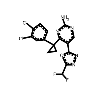 Nc1ncc(-c2nnc(C(F)F)o2)c(C2(c3ccc(Cl)c(Cl)c3)CC2)n1